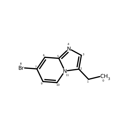 CCc1cnc2cc(Br)ccn12